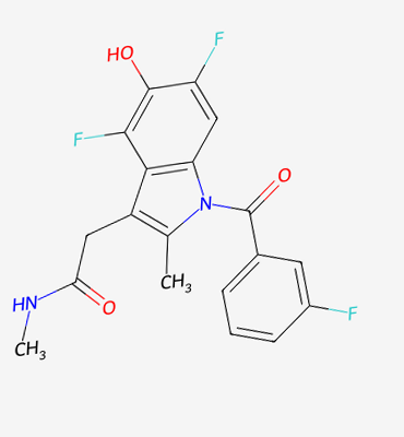 CNC(=O)Cc1c(C)n(C(=O)c2cccc(F)c2)c2cc(F)c(O)c(F)c12